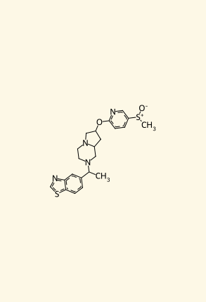 CC(c1ccc2scnc2c1)N1CCN2CC(Oc3ccc([S+](C)[O-])cn3)CC2C1